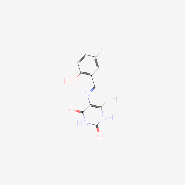 Cc1[nH]c(=O)[nH]c(=O)c1/N=C/c1cc(Cl)ccc1O